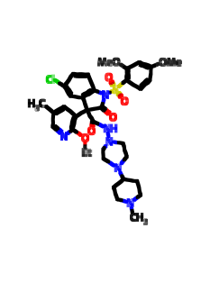 CCOc1ncc(C)cc1C1(C(=O)NN2CCN(C3CCN(C)CC3)CC2)C(=O)N(S(=O)(=O)c2ccc(OC)cc2OC)c2ccc(Cl)cc21